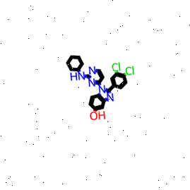 Oc1ccc2c(c1)nc(-c1ccc(Cl)c(Cl)c1)n2-c1ccnc(NC2CCCCC2)n1